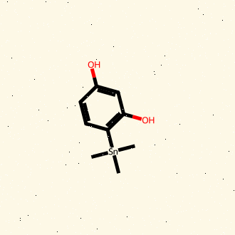 [CH3][Sn]([CH3])([CH3])[c]1ccc(O)cc1O